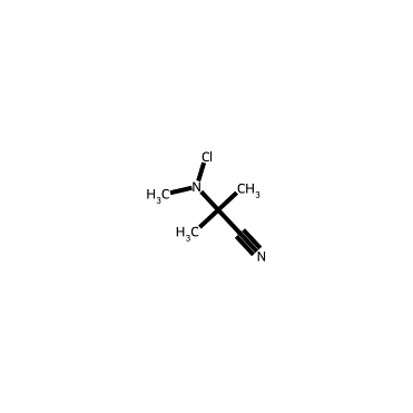 CN(Cl)C(C)(C)C#N